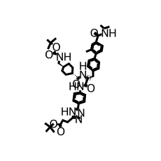 Cc1cc(C(=O)NC(C)C)ccc1-c1ccc(C[C@H](NC(=O)[C@H]2CC[C@H](CNC(=O)OC(C)(C)C)CC2)C(=O)Nc2ccc(-c3nnc(CCC(=O)OC(C)(C)C)[nH]3)cc2)cc1